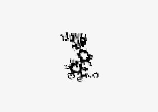 CCCCNS(=O)(=O)c1cccc(-n2ccc(=O)c(C(=O)N=O)n2)c1